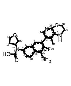 Cc1c(-c2cc3cc(N(C(=O)O)C4CCOC4)ncc3c(N)c2F)cnc2c1NCCO2